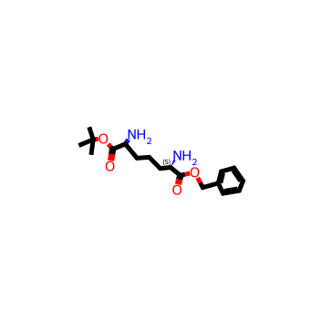 CC(C)(C)OC(=O)C(N)CCC[C@H](N)C(=O)OCc1ccccc1